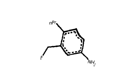 CCCc1ccc(N)cc1CF